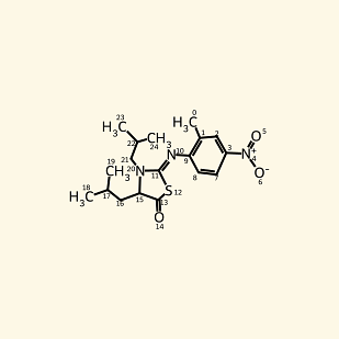 Cc1cc([N+](=O)[O-])ccc1N=C1SC(=O)C(CC(C)C)N1CC(C)C